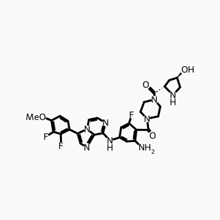 COc1ccc(-c2cnc3c(Nc4cc(N)c(C(=O)N5CCN(C(=O)[C@@H]6C[C@@H](O)CN6)CC5)c(F)c4)nccn23)c(F)c1F